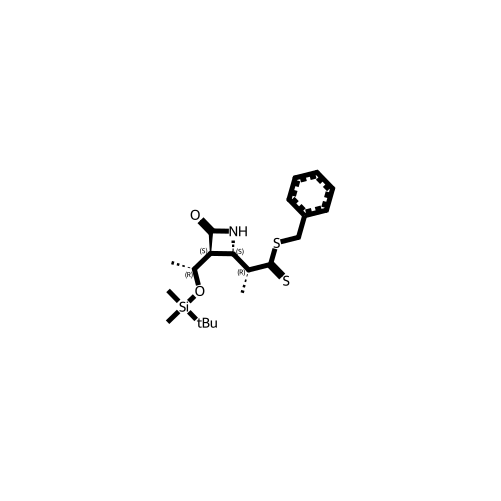 C[C@@H](O[Si](C)(C)C(C)(C)C)[C@H]1C(=O)N[C@@H]1[C@@H](C)C(=S)SCc1ccccc1